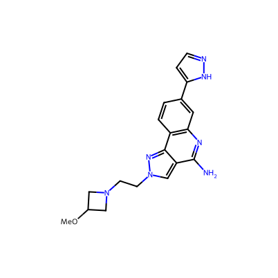 COC1CN(CCn2cc3c(N)nc4cc(-c5ccn[nH]5)ccc4c3n2)C1